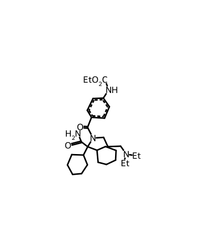 CCOC(=O)Nc1ccc(C(=O)N(CCCN(CC)CC)C(C(N)=O)(C2CCCCC2)C2CCCCC2)cc1